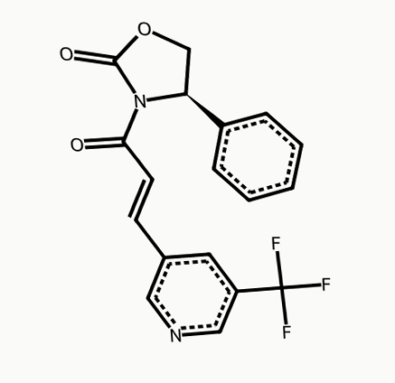 O=C(C=Cc1cncc(C(F)(F)F)c1)N1C(=O)OC[C@H]1c1ccccc1